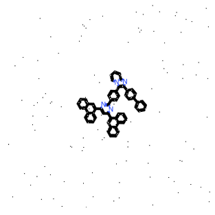 c1ccc(-c2ccc(-c3nc4ccccn4c3-c3ccc(-c4nc(-c5cc6ccccc6c6ccccc56)cc(-c5cc6ccccc6c6ccccc56)n4)cc3)cc2)cc1